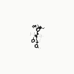 CCc1c[nH]c2c(N3CCCC3=O)cc(C(=O)N[C@@H](Cc3ccccc3)[C@H](O)CNC(C)(C)c3cccc(OC)c3)cc12